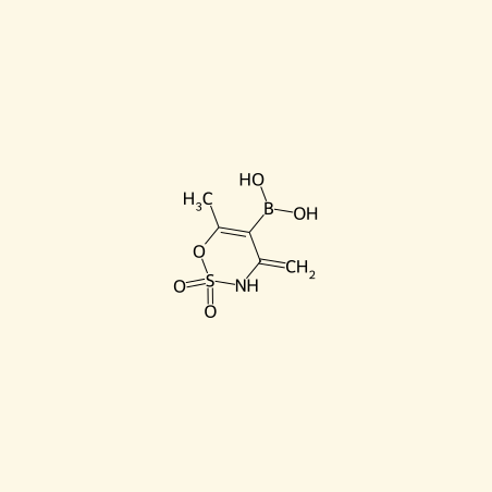 C=C1NS(=O)(=O)OC(C)=C1B(O)O